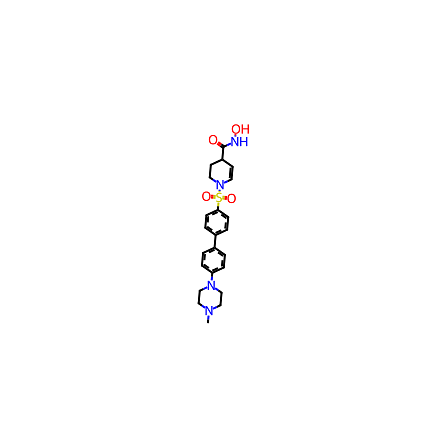 CN1CCN(c2ccc(-c3ccc(S(=O)(=O)N4C=CC(C(=O)NO)CC4)cc3)cc2)CC1